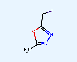 FC(F)(F)c1nnc(CI)o1